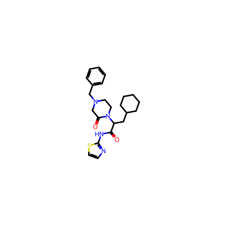 O=C(Nc1nccs1)C(CC1CCCCC1)N1CCN(Cc2ccccc2)CC1=O